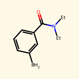 Bc1cccc(C(=O)N(CC)CC)c1